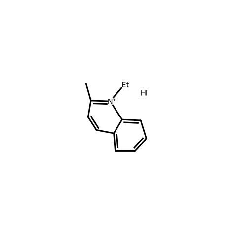 CC[n+]1c(C)ccc2ccccc21.I